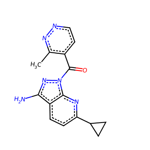 Cc1nnccc1C(=O)n1nc(N)c2ccc(C3CC3)nc21